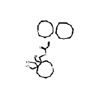 C1CCCCCCCCC1.C1CCCCCCCCC1.C=CC(=O)OCC1(CO)CCCCCCCCC1(CO)CO